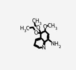 CCOC1(OCC)c2cccnc2C(N)=CC1OC